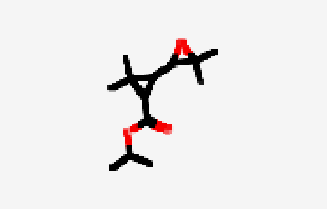 CC(C)OC(=O)C1C(C2OC2(C)C)C1(C)C